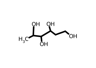 CC(O)C(O)C(O)CCO